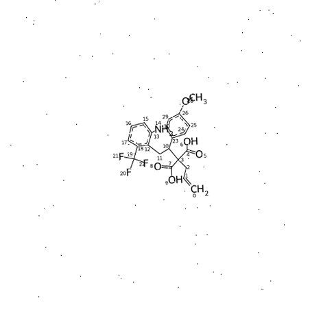 C=CCC(C(=O)O)(C(=O)O)C(Cc1c(N)cccc1C(F)(F)F)c1ccc(OC)cc1